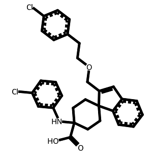 O=C(O)C1(Nc2cccc(Cl)c2)CCC2(CC1)C(COCCc1ccc(Cl)cc1)=Cc1ccccc12